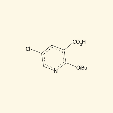 CC(C)COc1ncc(Cl)cc1C(=O)O